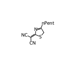 CCCCCC1=NC(=C(C#N)C#N)SC1